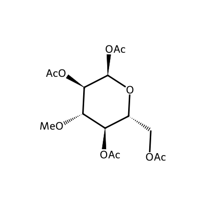 CO[C@@H]1[C@@H](OC(C)=O)[C@@H](OC(C)=O)O[C@H](COC(C)=O)[C@H]1OC(C)=O